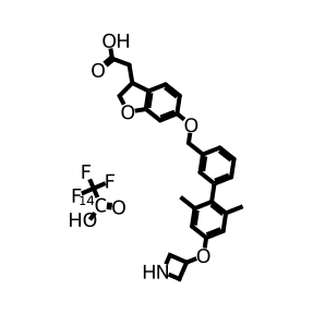 Cc1cc(OC2CNC2)cc(C)c1-c1cccc(COc2ccc3c(c2)OCC3CC(=O)O)c1.O=[14C](O)C(F)(F)F